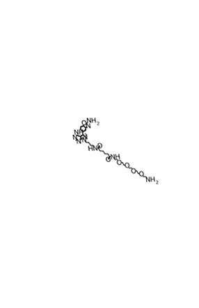 NCCOCCOCCOCCOCCNC(=O)CCCCC(=O)NCCCCn1nc(-c2ccc3oc(N)nc3c2)c2c(N)ncnc21